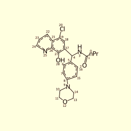 CCCC(=O)NC(c1ccc(N2CCOCC2)cc1)c1cc(Cl)c2cccnc2c1O